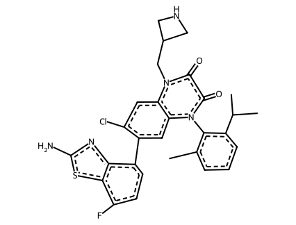 Cc1cccc(C(C)C)c1-n1c(=O)c(=O)n(CC2CNC2)c2cc(Cl)c(-c3ccc(F)c4sc(N)nc34)cc21